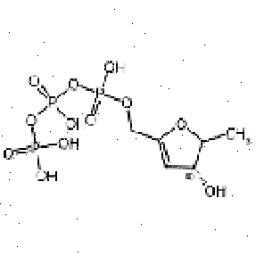 CC1OC(COP(=O)(O)OP(=O)(O)OP(=O)(O)O)=C[C@H]1O